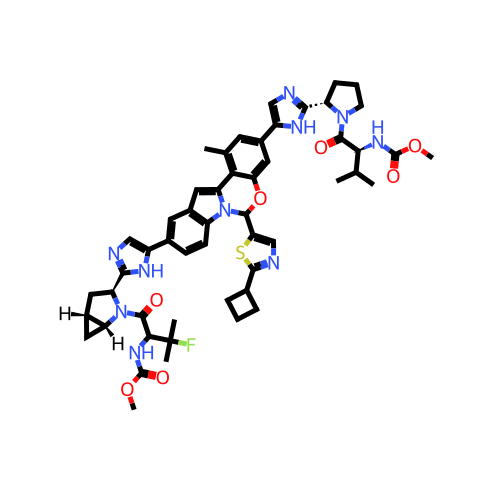 COC(=O)NC(C(=O)N1[C@@H]2C[C@@H]2C[C@H]1c1ncc(-c2ccc3c(c2)cc2n3C(c3cnc(C4CCC4)s3)Oc3cc(-c4cnc([C@@H]5CCCN5C(=O)[C@@H](NC(=O)OC)C(C)C)[nH]4)cc(C)c3-2)[nH]1)C(C)(C)F